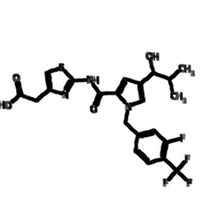 CC(C)C(O)c1cc(C(=O)Nc2nc(CC(=O)O)cs2)n(Cc2ccc(C(F)(F)F)c(F)c2)c1